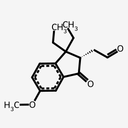 CCC1(CC)c2ccc(OC)cc2C(=O)[C@H]1CC=O